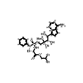 CCC(CC)COC(=O)[C@H](CC)NP(=O)(OC[C@@](C#N)(OC)[C@@H](O)[C@@H](O)c1ccc2c(N)ncnn12)Oc1ccccc1